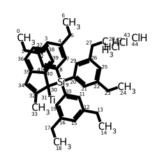 CCc1cc(CC)cc([Si](c2cc(CC)cc(CC)c2)(c2cc(CC)cc(CC)c2)[C]2([Ti])C(C)=Cc3ccccc32)c1.Cl.Cl.Cl